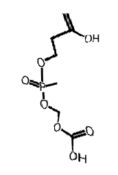 C=C(O)CCOP(C)(=O)OCOC(=O)O